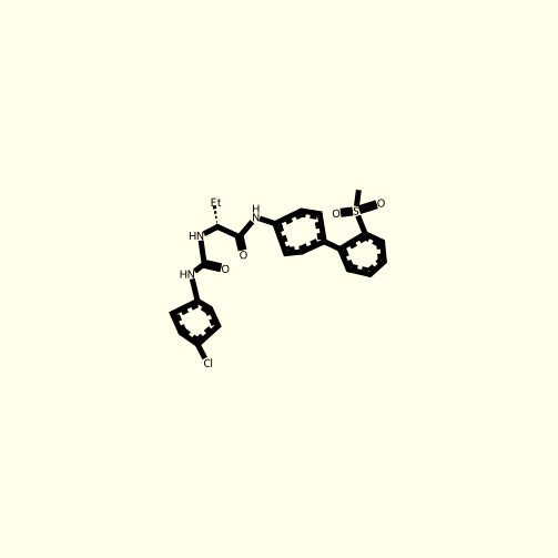 CC[C@@H](NC(=O)Nc1ccc(Cl)cc1)C(=O)Nc1ccc(-c2ccccc2S(C)(=O)=O)cc1